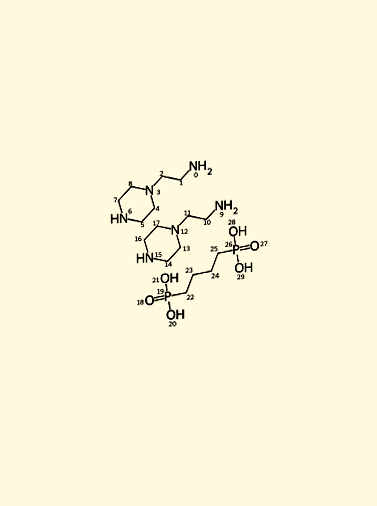 NCCN1CCNCC1.NCCN1CCNCC1.O=P(O)(O)CCCCP(=O)(O)O